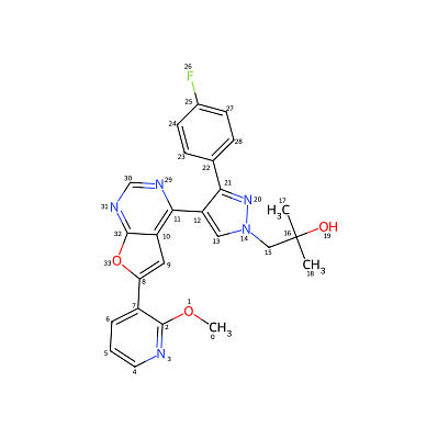 COc1ncccc1-c1cc2c(-c3cn(CC(C)(C)O)nc3-c3ccc(F)cc3)ncnc2o1